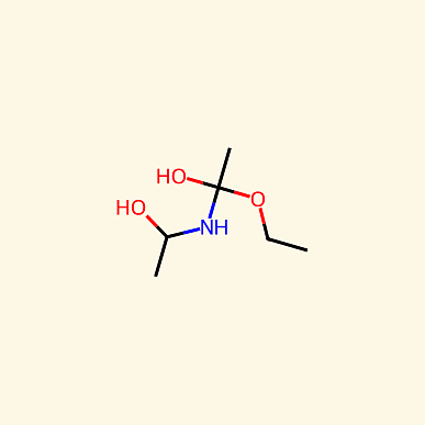 CCOC(C)(O)NC(C)O